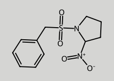 O=[N+]([O-])C1CCCN1S(=O)(=O)Cc1ccccc1